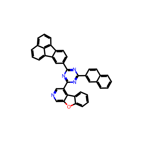 c1ccc2cc(-c3nc(-c4ccc5c(c4)-c4cccc6cccc-5c46)nc(-c4cncc5oc6ccccc6c45)n3)ccc2c1